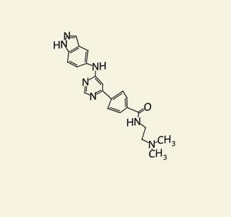 CN(C)CCNC(=O)c1ccc(-c2cc(Nc3ccc4[nH]ncc4c3)ncn2)cc1